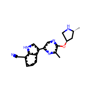 Cc1nc(-c2c[nH]c3c(C#N)cccc23)cnc1O[C@H]1CN[C@H](C)C1